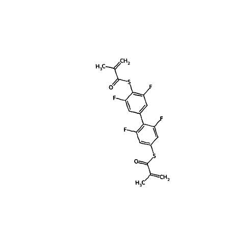 C=C(C)C(=O)Sc1cc(F)c(-c2cc(F)c(SC(=O)C(=C)C)c(F)c2)c(F)c1